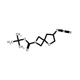 CC(C)(C)OC(=O)N1CC2(CC(N=[N+]=[N-])CO2)C1